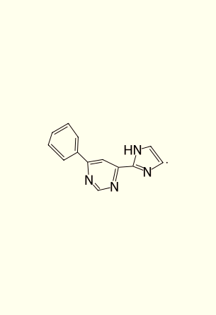 [c]1c[nH]c(-c2cc(-c3ccccc3)ncn2)n1